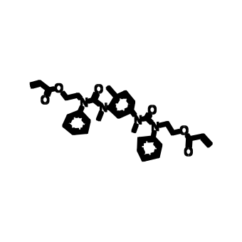 C=CC(=O)OCCN(C(=O)N(C)c1ccc(C)c(N(C)C(=O)N(CCOC(=O)C=C)c2ccccc2)c1)c1ccccc1